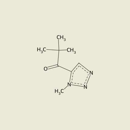 Cn1nncc1C(=O)C(C)(C)C